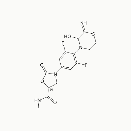 CNC(=O)[C@H]1CN(c2cc(F)c(N3CCSC(=N)C3O)c(F)c2)C(=O)O1